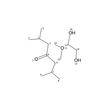 CC(C)CC(=O)CC(C)C.COC.OCCO